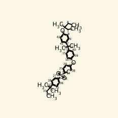 CCC(C)(CC)Oc1ccc(C(C)(C)c2ccc(Oc3ccc(S(=O)(=O)c4ccc(C(C)(C)CC)cc4)cc3)cc2)cc1